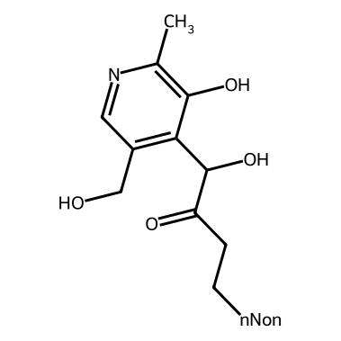 CCCCCCCCCCCC(=O)C(O)c1c(CO)cnc(C)c1O